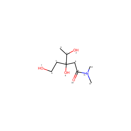 CC(O)C(O)(CCO)CC(=O)N(C)C